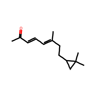 CC(=O)C=CC=C(C)CCC1CC1(C)C